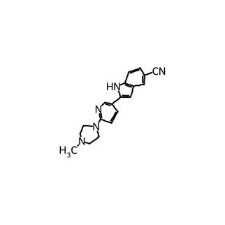 CN1CCN(c2ccc(-c3cc4cc(C#N)ccc4[nH]3)cn2)CC1